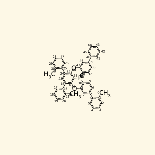 Cc1ccccc1-c1ccc2c(c1)Oc1c(-c3ccccc3C)cc(-c3ccccc3C)c3c1P2(=O)c1ccc(-c2ccccc2)cc1O3